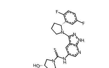 O[C@H]1CCN(C(=S)Nc2cnc3[nH]nc(N4CCC[C@@H]4c4cc(F)ccc4F)c3c2)C1